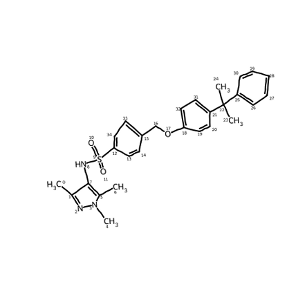 Cc1nn(C)c(C)c1NS(=O)(=O)c1ccc(COc2ccc(C(C)(C)c3ccccc3)cc2)cc1